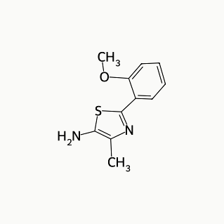 COc1ccccc1-c1nc(C)c(N)s1